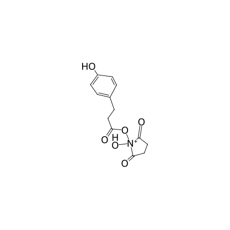 O=C(CCc1ccc(O)cc1)O[N+]1(O)C(=O)CCC1=O